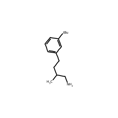 CC(CN)CCc1cccc(C(C)(C)C)c1